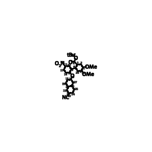 COc1cc(C(=O)OC(C)(C)C)c(-c2cc([N+](=O)[O-])ccc2Oc2ccc3cc(C#N)ccc3c2)cc1OC